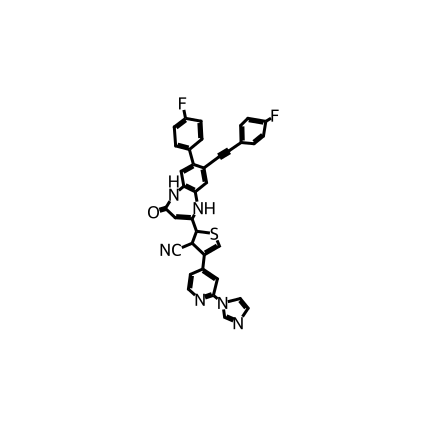 N#CC1C(c2ccnc(-n3ccnc3)c2)=CSC1C1=CC(=O)Nc2cc(-c3ccc(F)cc3)c(C#Cc3ccc(F)cc3)cc2N1